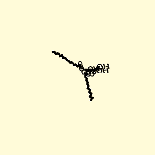 CCCCCCCCCCCCCCCC(=O)OC[C@H](COP(=O)(O)OCC(O)CO)OC(=O)CCCCCCCCCCCCC